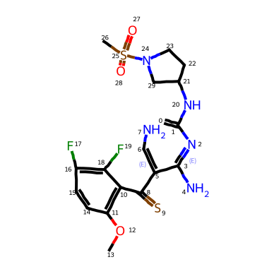 C=C(/N=C(N)\C(=C/N)C(=S)c1c(OC)ccc(F)c1F)NC1CCN(S(C)(=O)=O)C1